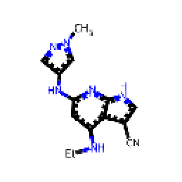 CCNc1cc(Nc2cnn(C)c2)nc2[nH]cc(C#N)c12